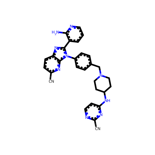 N#Cc1ccc2nc(-c3cccnc3N)n(-c3ccc(CN4CCC(Nc5ccnc(C#N)n5)CC4)cc3)c2n1